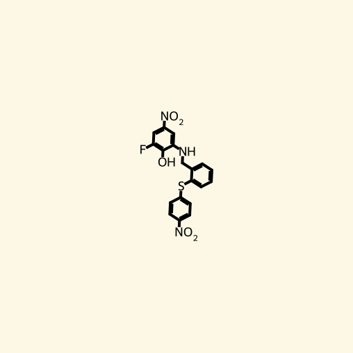 O=[N+]([O-])c1ccc(Sc2ccccc2CNc2cc([N+](=O)[O-])cc(F)c2O)cc1